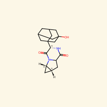 O=C1N[C@@H](C23CC4CC(CC(O)(C4)C2)C3)C(=O)N2C1C[C@@H]1C[C@@H]12